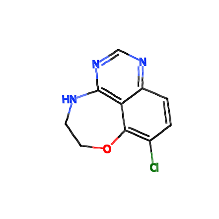 Clc1ccc2ncnc3c2c1OCCN3